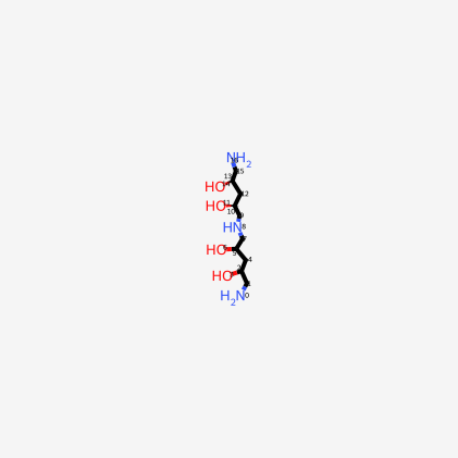 NCC(O)CC(O)CNC[C@@H](O)C[C@@H](O)CN